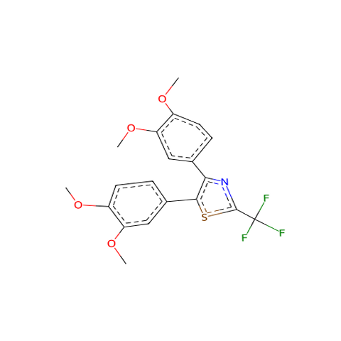 COc1ccc(-c2nc(C(F)(F)F)sc2-c2ccc(OC)c(OC)c2)cc1OC